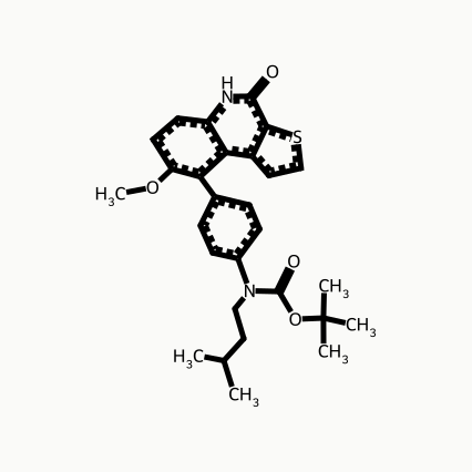 COc1ccc2[nH]c(=O)c3sccc3c2c1-c1ccc(N(CCC(C)C)C(=O)OC(C)(C)C)cc1